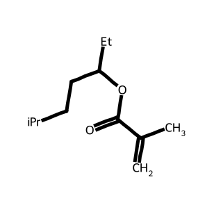 C=C(C)C(=O)OC(CC)CCC(C)C